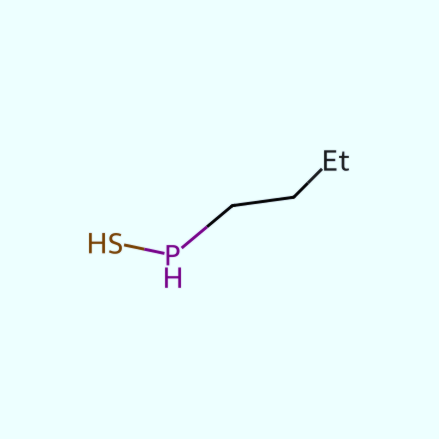 CCCCPS